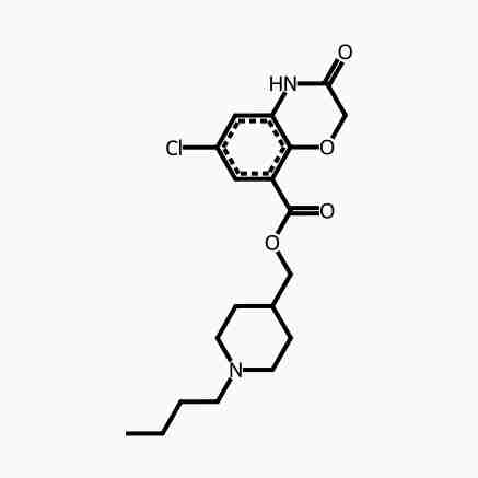 CCCCN1CCC(COC(=O)c2cc(Cl)cc3c2OCC(=O)N3)CC1